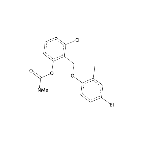 CCc1ccc(OCc2c(Cl)cccc2OC(=O)NC)c(C)c1